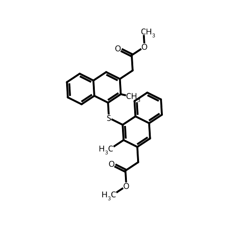 COC(=O)Cc1cc2ccccc2c(Sc2c(C)c(CC(=O)OC)cc3ccccc23)c1C